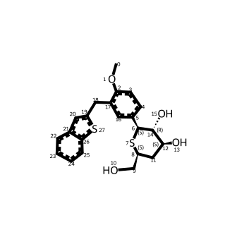 COc1ccc([C@@H]2S[C@H](CO)C[C@H](O)[C@H]2O)cc1Cc1cc2ccccc2s1